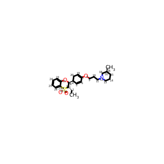 CC[C@H]1[C@H](C2C=CC(OCCCN3CCC[C@H](C)C3)=CC2)Oc2ccccc2S1(=O)=O